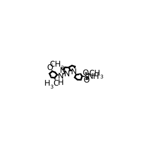 CNS(=O)(=O)c1cccc(-n2ccc3cnc(Nc4cc(OC)ccc4C)nc32)c1